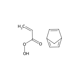 C1=CC2=CC=C1C2.C=CC(=O)OO